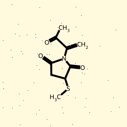 C=C(C(C)=O)N1C(=O)CC(SC)C1=O